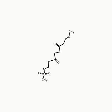 COCCC(=O)CCC(=O)CCOS(C)(=O)=O